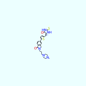 CN1CCN(CCCN2Cc3cc(-c4ccc(/C=C5/NC(=S)NC5=O)s4)ccc3C2=O)CC1